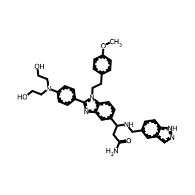 COc1ccc(CCn2c(-c3ccc(N(CCO)CCO)cc3)nc3cc(C(CC(N)=O)NCc4ccc5[nH]ncc5c4)ccc32)cc1